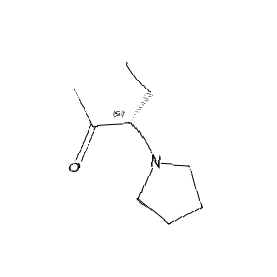 CC[C@@H](C(C)=O)N1CCCC1